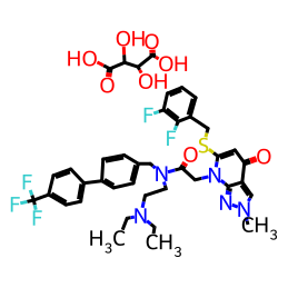 CCN(CC)CCN(Cc1ccc(-c2ccc(C(F)(F)F)cc2)cc1)C(=O)Cn1c(SCc2cccc(F)c2F)cc(=O)c2cn(C)nc21.O=C(O)C(O)C(O)C(=O)O